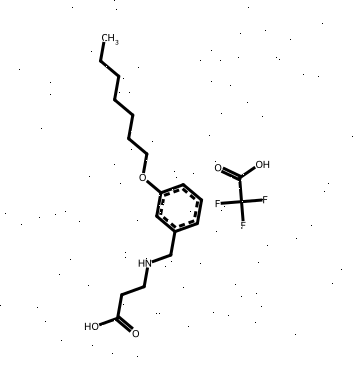 CCCCCCCOc1cccc(CNCCC(=O)O)c1.O=C(O)C(F)(F)F